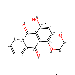 O=C1c2ccccc2C(=O)c2c3c(cc(O)c21)OCCO3